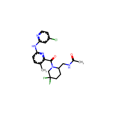 CC(=O)NCC1CCC(F)(F)CN1C(=O)c1nc(Nc2cc(Cl)ccn2)ccc1C